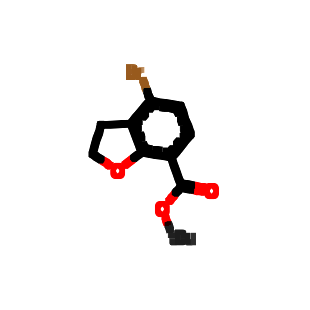 CC(C)(C)OC(=O)c1ccc(Br)c2c1OCC2